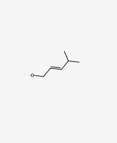 CC(C)C=CC[O]